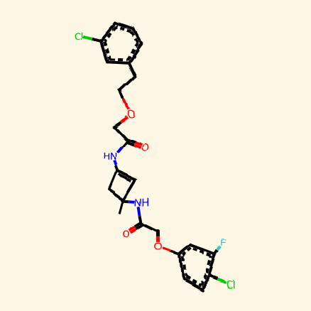 CC1(NC(=O)COc2ccc(Cl)c(F)c2)C=C(NC(=O)COCCc2cccc(Cl)c2)C1